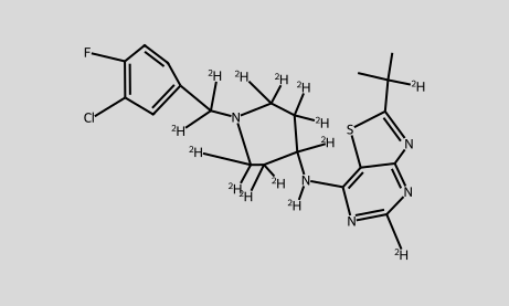 [2H]c1nc(N([2H])C2([2H])C([2H])([2H])C([2H])([2H])N(C([2H])([2H])c3ccc(F)c(Cl)c3)C([2H])([2H])C2([2H])[2H])c2sc(C([2H])(C)C)nc2n1